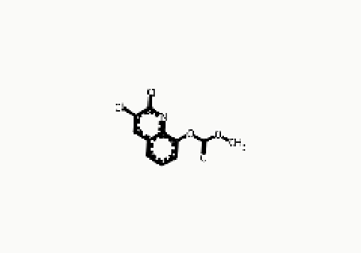 COC(=O)Oc1cccc2cc(Cl)c(Cl)nc12